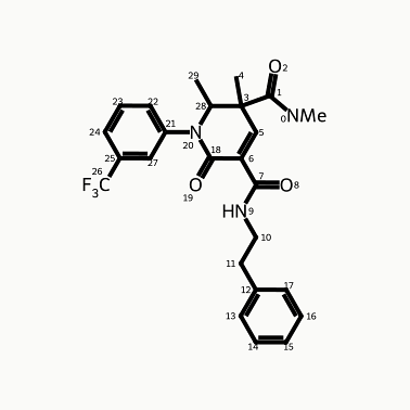 CNC(=O)C1(C)C=C(C(=O)NCCc2ccccc2)C(=O)N(c2cccc(C(F)(F)F)c2)C1C